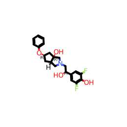 Oc1c(F)cc([C@@H](O)CN2C[C@@H]3C[C@@H](Oc4ccccc4)C[C@]3(O)C2)cc1F